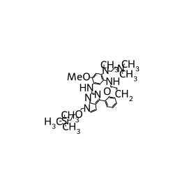 C=CC(=O)Nc1cc(Nc2nc(-c3ccccc3)c3ccn(COCC[Si](C)(C)C)c3n2)c(OC)cc1N(C)CCN(C)C